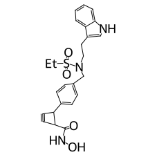 CCS(=O)(=O)N(CCc1c[nH]c2ccccc12)Cc1ccc(C2C#CC2C(=O)NO)cc1